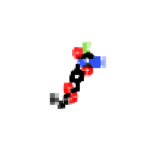 COC(=O)Cc1ccc(Cn2c(=O)[nH]cc(F)c2=O)cc1